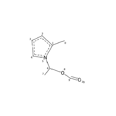 Cc1cccn1C(C)OC=O